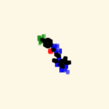 Cc1nc(N)c2nc(C)n(CCNC(=O)Nc3ccc(C(F)(F)F)cc3)c2c1C